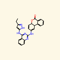 CCc1cc(Nc2nc(NC3=CC4c5ccccc5C(=O)OC4C=C3)nc3ccccc23)[nH]n1